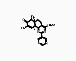 [C-]#[N+]C1=C[C@]2(C)c3nc(-c4cncnc4)nc(OC)c3CC[C@H]2[C@H](C)C1=O